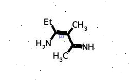 CC/C(N)=C(\C)C(C)=N